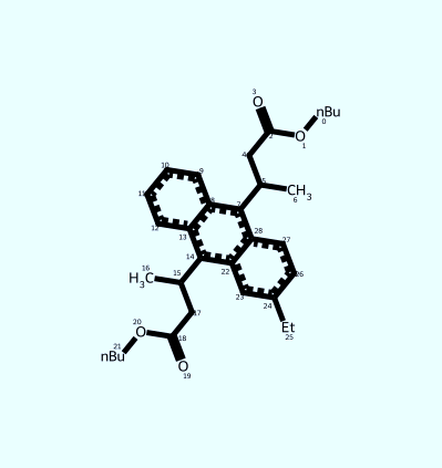 CCCCOC(=O)CC(C)c1c2ccccc2c(C(C)CC(=O)OCCCC)c2cc(CC)ccc12